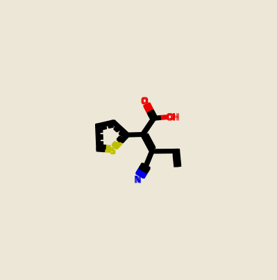 C=CC(C#N)=C(C(=O)O)c1cccs1